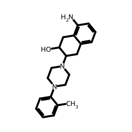 Cc1ccccc1N1CCN(C2Cc3cccc(N)c3CC2O)CC1